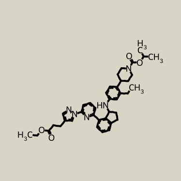 CCOC(=O)CCc1cnn(-c2cccc(-c3cccc4c3C(Nc3ccc(C5CCN(C(=O)OC(C)C)CC5)c(CC)c3)CC4)n2)c1